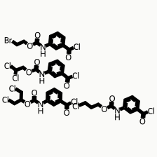 O=C(Nc1cccc(C(=O)Cl)c1)OC(CCl)CCl.O=C(Nc1cccc(C(=O)Cl)c1)OCC(Cl)Cl.O=C(Nc1cccc(C(=O)Cl)c1)OCCBr.O=C(Nc1cccc(C(=O)Cl)c1)OCCCCl